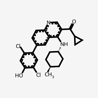 C[C@H]1CC[C@H](Nc2c(C(=O)C3CC3)cnc3ccc(-c4cc(Cl)c(O)cc4Cl)cc23)CC1